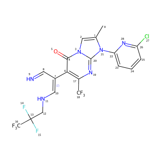 Cc1cn2c(=O)c(/C(C=N)=C/NCC(F)(F)C(F)(F)F)c(C(F)(F)F)nc2n1-c1cccc(Cl)n1